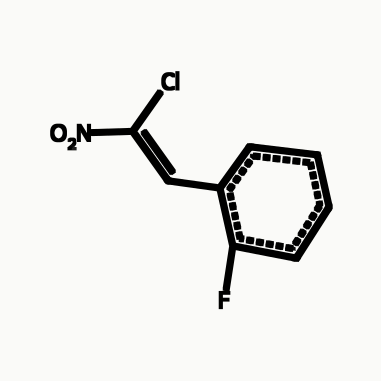 O=[N+]([O-])C(Cl)=Cc1ccccc1F